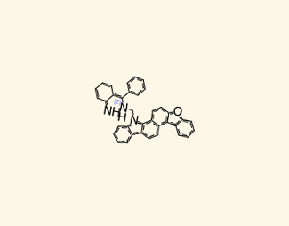 N=C1C=CC=C/C1=C(/NCn1c2ccccc2c2ccc3c(ccc4oc5ccccc5c43)c21)c1ccccc1